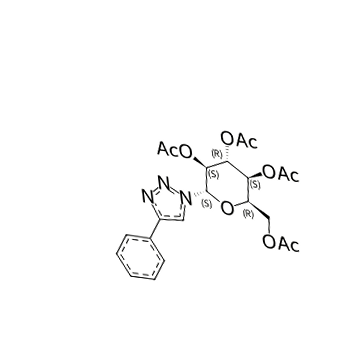 CC(=O)OC[C@H]1O[C@H](n2cc(-c3ccccc3)nn2)[C@@H](OC(C)=O)[C@H](OC(C)=O)[C@H]1OC(C)=O